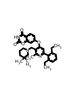 CCc1cccc(CC)c1-c1cc(Oc2ccc3c(=O)[nH]c(=O)oc3c2)c(CN2CCCC(C)(C)C2)c(C)n1